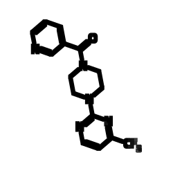 O=C(c1cccnc1)N1CCN(c2nccc(C(F)(F)F)n2)CC1